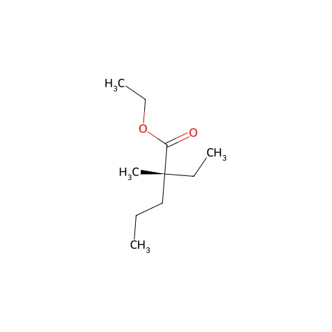 CCC[C@@](C)(CC)C(=O)OCC